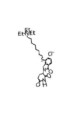 CC[N+](CC)(CC)CCCCCCCCSc1cccc2c1CN(C1CCC(=O)NC1=O)C2=O.[Cl-]